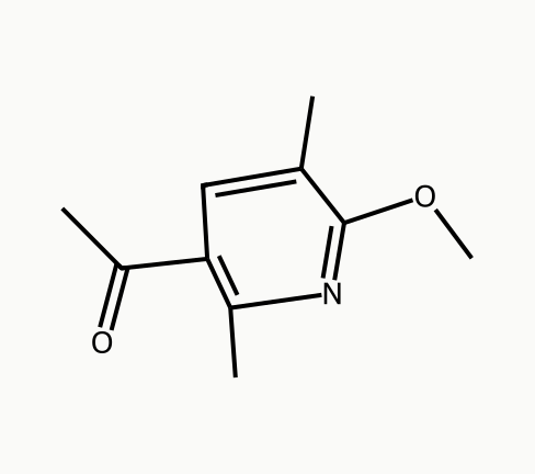 COc1nc(C)c(C(C)=O)cc1C